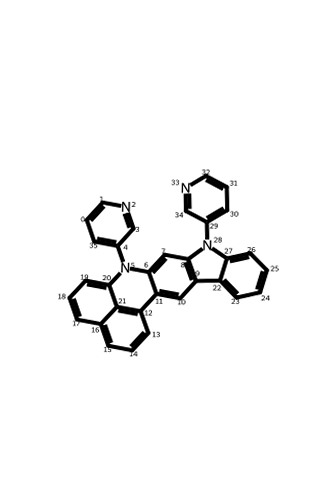 c1cncc(N2c3cc4c(cc3-c3cccc5cccc2c35)c2ccccc2n4-c2cccnc2)c1